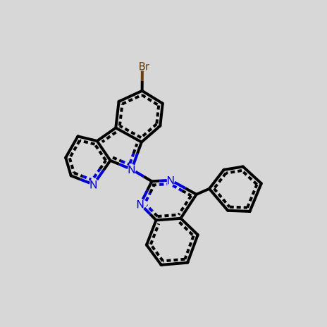 Brc1ccc2c(c1)c1cccnc1n2-c1nc(-c2ccccc2)c2ccccc2n1